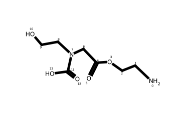 NCCOC(=O)CN(CCO)C(=O)O